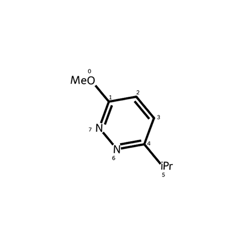 COc1ccc(C(C)C)nn1